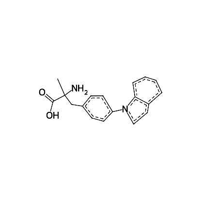 CC(N)(Cc1ccc(-n2ccc3ccccc32)cc1)C(=O)O